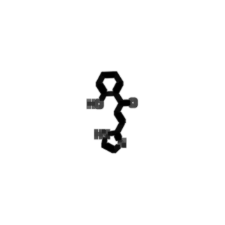 O=C(/C=C/c1ncc[nH]1)c1ccccc1O